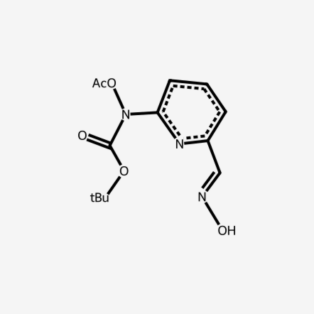 CC(=O)ON(C(=O)OC(C)(C)C)c1cccc(C=NO)n1